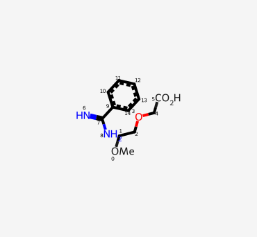 COCCOCC(=O)O.N=C(N)c1ccccc1